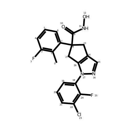 Cc1c(F)cccc1C1(C(=O)NO)Cc2cnn(-c3cccc(Cl)c3F)c2C1